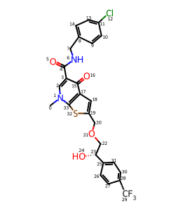 Cn1cc(C(=O)NCc2ccc(Cl)cc2)c(=O)c2cc(COC[C@@H](O)c3ccc(C(F)(F)F)cc3)sc21